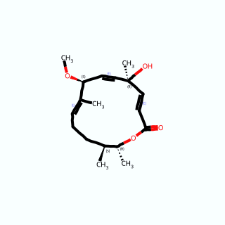 CO[C@H]1/C=C/[C@@](C)(O)/C=C/C(=O)O[C@H](C)[C@@H](C)CC/C=C/1C